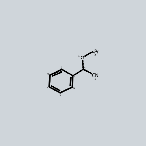 CC(C)OC(C#N)c1ccccc1